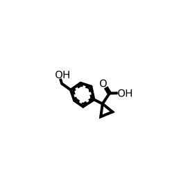 O=C(O)C1(c2ccc(CO)cc2)CC1